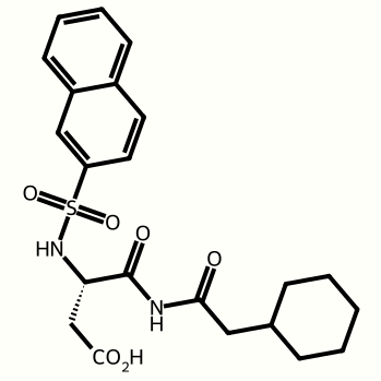 O=C(O)C[C@H](NS(=O)(=O)c1ccc2ccccc2c1)C(=O)NC(=O)CC1CCCCC1